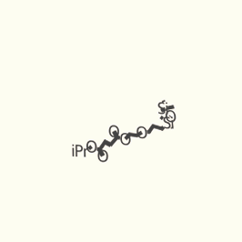 CC(C)OC(=O)/C=C/C(=O)OCCOCCC[Si](C)(C)O[Si](C)(C)C